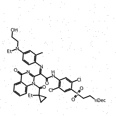 CCCCCCCCCCCCS(=O)(=O)c1cc(Cl)c(NC(=O)/C(=N/c2ccc(N(CC)CCO)cc2C)c2nc(=O)c3ccccc3n2C(=O)C2(CC)CC2)cc1Cl